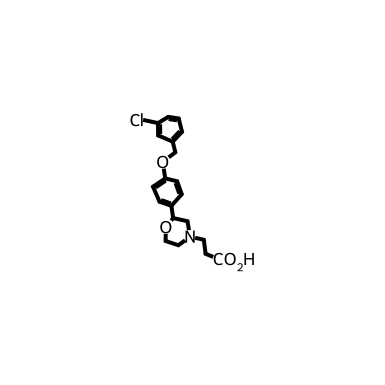 O=C(O)CCN1CCOC(c2ccc(OCc3cccc(Cl)c3)cc2)C1